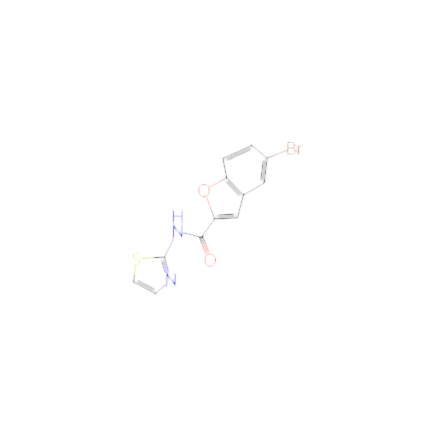 O=C(Nc1nccs1)c1cc2cc(Br)ccc2o1